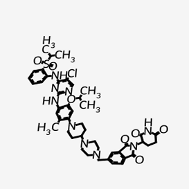 Cc1cc(Nc2ncc(Cl)c(Nc3ccccc3S(=O)(=O)C(C)C)n2)c(OC(C)C)cc1N1CCC(N2CCN(Cc3ccc4c(c3)C(=O)N(C3CCC(=O)NC3=O)C4=O)CC2)CC1